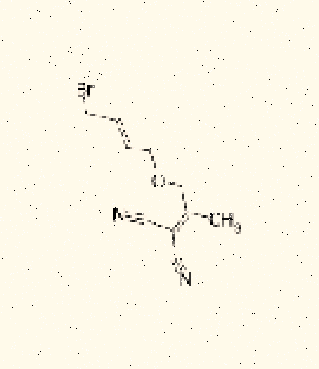 CC(COC/C=C/CBr)=C(C#N)C#N